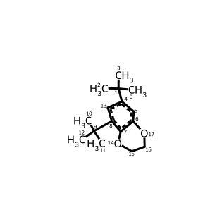 CC(C)(C)c1cc2c(c(C(C)(C)C)c1)OCCO2